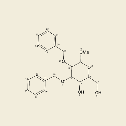 COC1OC(CO)C(O)C(OCc2ccccc2)C1OCc1ccccc1